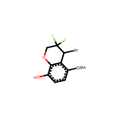 COc1ccc(O)c2c1C(C(C)C)C(F)(F)CO2